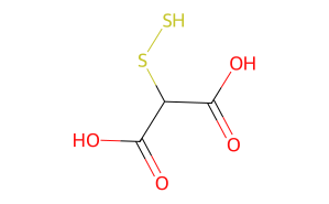 O=C(O)C(SS)C(=O)O